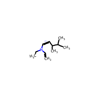 C=CN(/C=C\C(C)C(C)C)CC